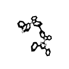 c1ccc(-c2cc(-c3ccccc3)nc(-n3c4ccccc4c4cc(-c5ccc6c7ccccc7n(-c7ccc8oc9ccccc9c8c7)c6c5)ccc43)n2)cc1